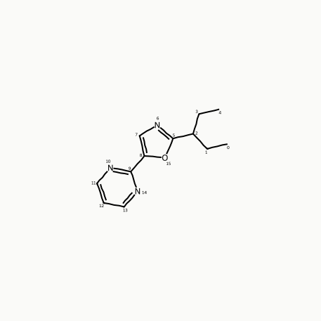 CCC(CC)c1ncc(-c2ncccn2)o1